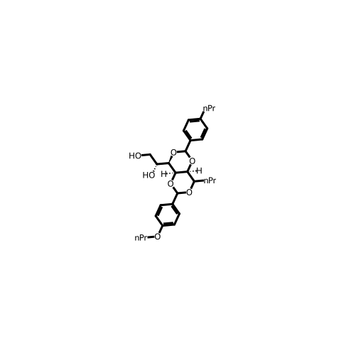 CCCOc1ccc(C2OC(CCC)[C@@H]3OC(c4ccc(CCC)cc4)O[C@H]([C@H](O)CO)[C@@H]3O2)cc1